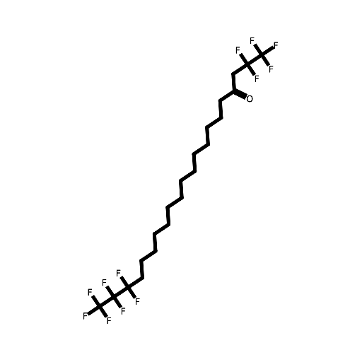 O=C(CCCCCCCCCCCCCCC(F)(F)C(F)(F)C(F)(F)F)CC(F)(F)C(F)(F)F